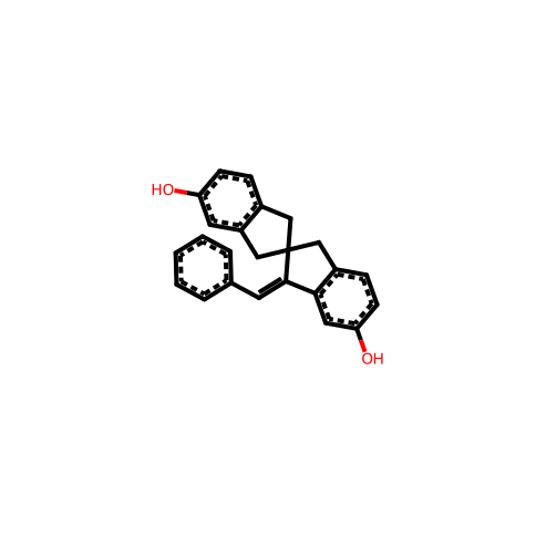 Oc1ccc2c(c1)CC1(C2)Cc2ccc(O)cc2/C1=C/c1ccccc1